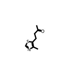 CC(=O)CCc1scnc1C